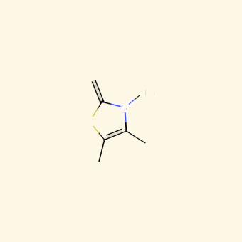 C=C1SC(C)=C(C)N1C(C)(C)C